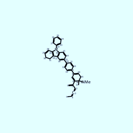 C=C(C=C=CC)C1=CC(c2ccc(-c3ccc4c(c3)c3c(n4-c4ccccc4)C=CCC3)cc2)=CCC1(C)NC